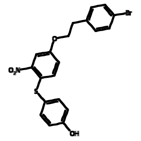 O=[N+]([O-])c1cc(OCCc2ccc(Br)cc2)ccc1Sc1ccc(O)cc1